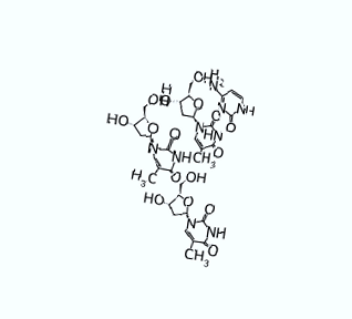 Cc1cn([C@H]2C[C@H](O)[C@@H](CO)O2)c(=O)[nH]c1=O.Cc1cn([C@H]2C[C@H](O)[C@@H](CO)O2)c(=O)[nH]c1=O.Cc1cn([C@H]2C[C@H](O)[C@@H](CO)O2)c(=O)[nH]c1=O.Nc1cc[nH]c(=O)n1